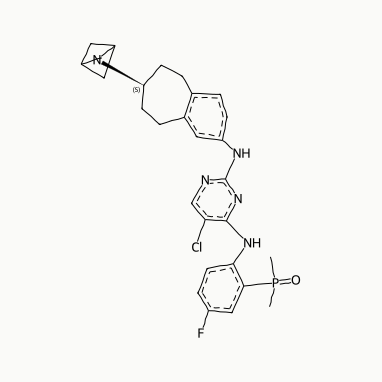 CP(C)(=O)c1cc(F)ccc1Nc1nc(Nc2ccc3c(c2)CC[C@@H](N2CC4CC2C4)CC3)ncc1Cl